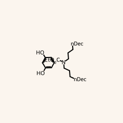 CCCCCCCCCCCCCN(CCCCCCCCCCCCC)C(=O)OCC.Oc1cccc(O)c1